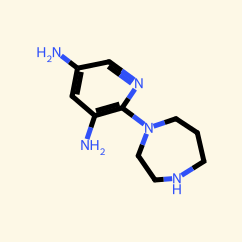 Nc1cnc(N2CCCNCC2)c(N)c1